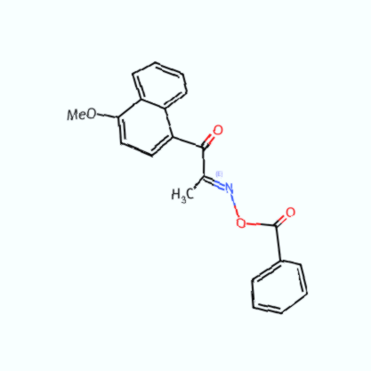 COc1ccc(C(=O)/C(C)=N/OC(=O)c2ccccc2)c2ccccc12